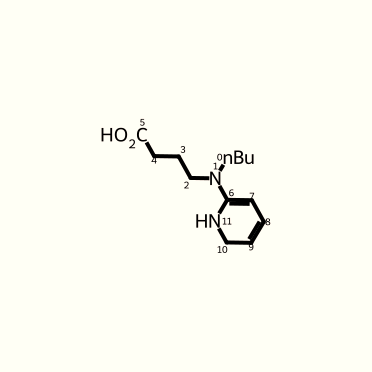 CCCCN(CCCC(=O)O)C1=CC=CCN1